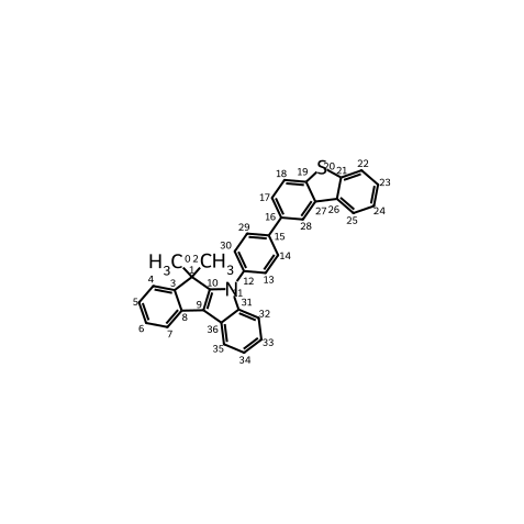 CC1(C)c2ccccc2-c2c1n(-c1ccc(-c3ccc4sc5ccccc5c4c3)cc1)c1ccccc21